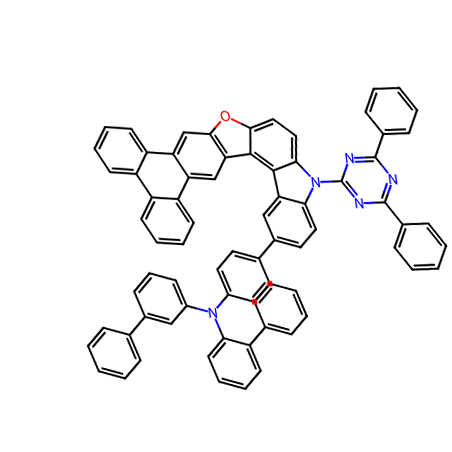 c1ccc(-c2cccc(N(c3ccc(-c4ccc5c(c4)c4c6c(ccc4n5-c4nc(-c5ccccc5)nc(-c5ccccc5)n4)oc4cc5c7ccccc7c7ccccc7c5cc46)cc3)c3ccccc3-c3ccccc3)c2)cc1